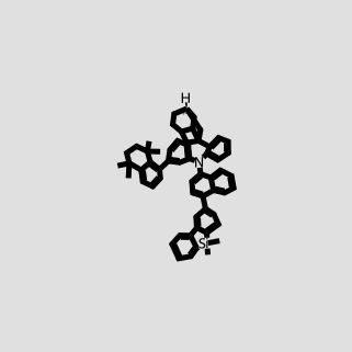 CC1(C)CCC(C)(C)c2c(-c3cccc(N(c4ccccc4C45CC6CC[C@@H](CC64)C5)c4ccc(-c5ccc6c(c5)-c5ccccc5[Si]6(C)C)c5ccccc45)c3)cccc21